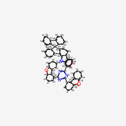 c1ccc(-c2nc(-c3cccc4oc5ccccc5c34)nc(-c3cccc4oc5ccc(-n6c7ccccc7c7ccc8c(c76)-c6ccccc6C86c7ccccc7-c7ccccc76)cc5c34)n2)cc1